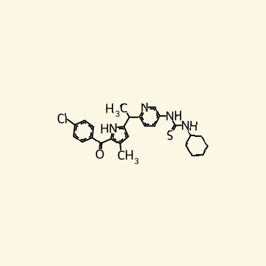 Cc1cc(C(C)c2ccc(NC(=S)NC3CCCCC3)cn2)[nH]c1C(=O)c1ccc(Cl)cc1